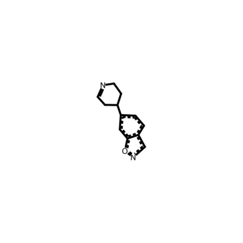 C1=NCCC(c2ccc3cnoc3c2)C1